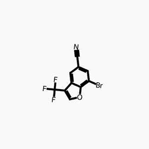 N#Cc1cc(Br)c2occ(C(F)(F)F)c2c1